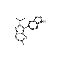 Cc1ccc2nc(C(C)C)n(-c3ccc4[nH]ncc4c3)c2n1